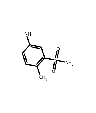 Cc1ccc([NH])cc1S(N)(=O)=O